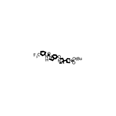 CC(C)(C)OC(=O)N1CC=C(c2cc(Oc3ccc4c(ccn4C(=O)Nc4cccc(C(F)(F)F)c4)c3)ncn2)CC1